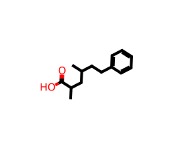 CC(CCc1ccccc1)CC(C)C(=O)O